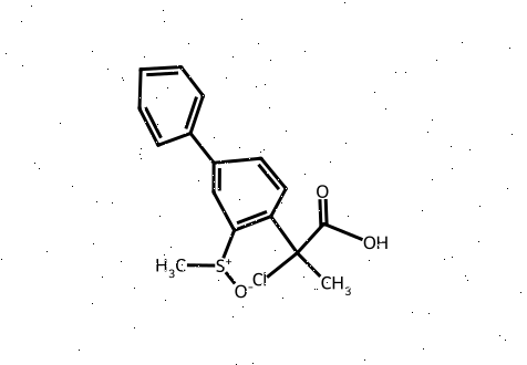 C[S+]([O-])c1cc(-c2ccccc2)ccc1C(C)(Cl)C(=O)O